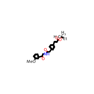 CCC(C)(C)OC(=O)/C=C/c1ccc(CC(=O)NCC(=O)c2cccc(OC)c2)cc1